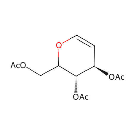 CC(=O)OCC1OC=C[C@@H](OC(C)=O)[C@@H]1OC(C)=O